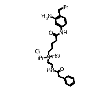 CCCC[N+](CCCCC(=O)Nc1ccc(CC(C)C)c(N)c1)(CCNC(=O)Cc1ccccc1)C(C)C.[Cl-]